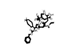 CCN(C)c1cc2nc(C(NC(=O)OCc3ccccc3)C3CCC(F)(F)CC3)cn2nc1CC1(C(=O)O)C[C@@H](C(F)(F)F)CNC1=O